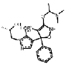 CC(OC1=C(C(=O)O)C(c2ccccc2)(c2cnn(C[C@H](C)O)c2C(F)(F)F)ON1)N(C)C